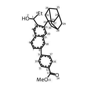 CCC(O)c1cc2ccc(-c3ccc(C(=O)OC)cc3)cc2cc1C12CC3CC(CC(C3)C1)C2